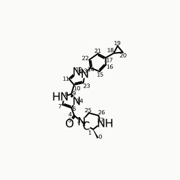 C[C@H]1CN(C(=O)c2c[nH]c(-c3cnn(-c4ccc(C5CC5)cc4)c3)n2)CCN1